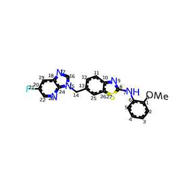 COc1ccccc1Nc1nc2ccc(Cn3cnc4cc(F)cnc43)cc2s1